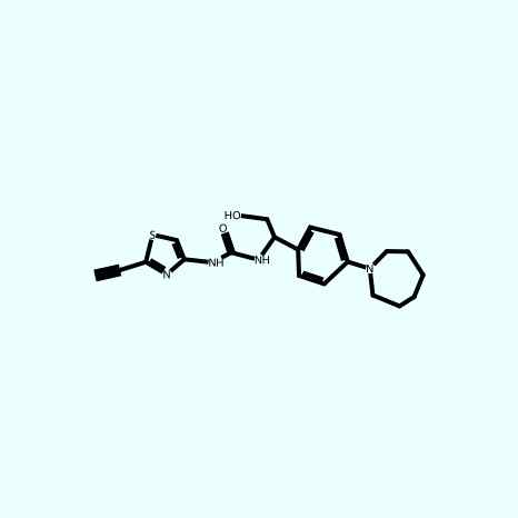 C#Cc1nc(NC(=O)NC(CO)c2ccc(N3CCCCCC3)cc2)cs1